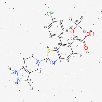 Cc1cc2nc(N3CCc4c(c(C)nn4C)C3)sc2c(-c2ccc(Cl)cc2)c1[C@H](OC(C)(C)C)C(=O)O